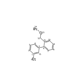 CCc1cccc(-c2ccccc2COC(C)C)c1